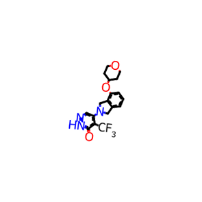 O=c1[nH]ncc(N2Cc3cccc(OC4CCOCC4)c3C2)c1C(F)(F)F